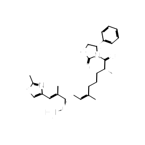 C/C(=C/C[C@H](OP)/C(C)=C/c1csc(C)n1)CCC[C@H](C)C(=O)N1C(=O)OC[C@H]1c1ccccc1